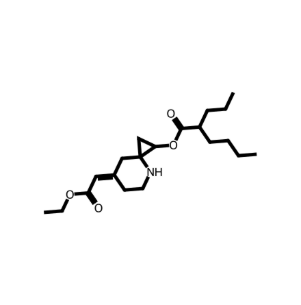 CCCCC(CCC)C(=O)OC1CC12C/C(=C/C(=O)OCC)CCN2